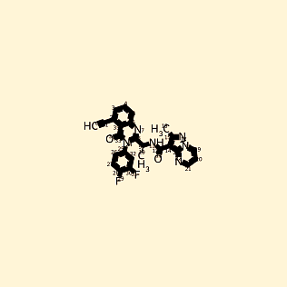 C#Cc1cccc2nc([C@@H](C)NC(=O)c3c(C)nn4cccnc34)n(-c3ccc(F)c(F)c3)c(=O)c12